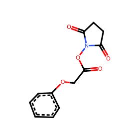 O=C(COc1ccccc1)ON1C(=O)CCC1=O